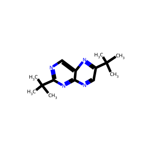 CC(C)(C)c1cnc2nc(C(C)(C)C)ncc2n1